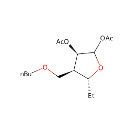 CCCCOC[C@@H]1[C@@H](CC)OC(OC(C)=O)[C@@H]1OC(C)=O